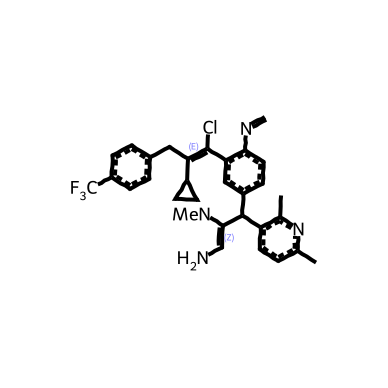 C=Nc1ccc(C(/C(=C/N)NC)c2ccc(C)nc2C)cc1/C(Cl)=C(/Cc1ccc(C(F)(F)F)cc1)C1CC1